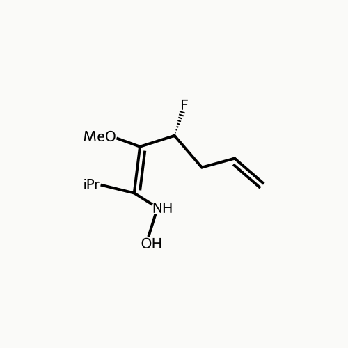 C=CC[C@@H](F)/C(OC)=C(\NO)C(C)C